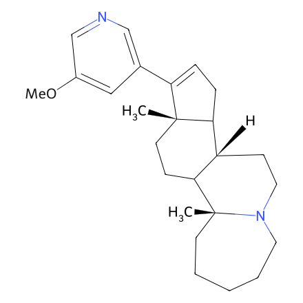 COc1cncc(C2=CCC3[C@@H]4CCN5CCCCC[C@]5(C)C4CC[C@]23C)c1